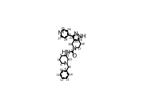 O=C(N[C@@H]1CCCN(Cc2ccccc2)C1)N1CCc2[nH]nc(-c3ccncc3)c2C1